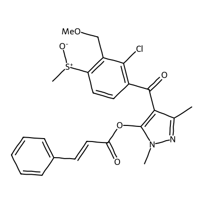 COCc1c([S+](C)[O-])ccc(C(=O)c2c(C)nn(C)c2OC(=O)/C=C/c2ccccc2)c1Cl